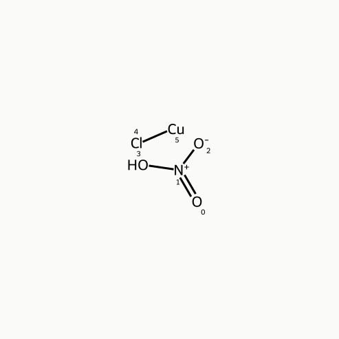 O=[N+]([O-])O.[Cl][Cu]